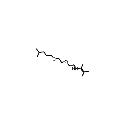 CC(C)=C(C)NCCOCCOCCCC(C)C